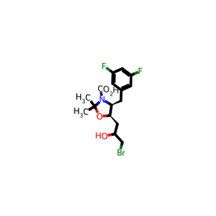 CC1(C)O[C@H](CC(O)CBr)[C@H](Cc2cc(F)cc(F)c2)N1C(=O)O